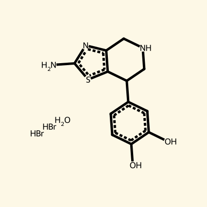 Br.Br.Nc1nc2c(s1)C(c1ccc(O)c(O)c1)CNC2.O